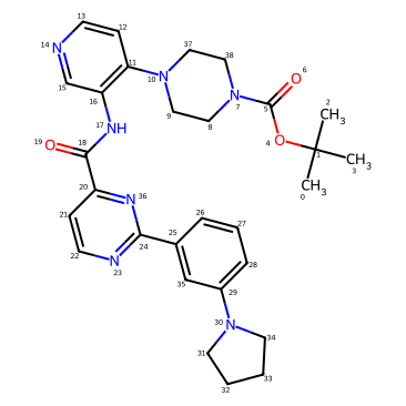 CC(C)(C)OC(=O)N1CCN(c2ccncc2NC(=O)c2ccnc(-c3cccc(N4CCCC4)c3)n2)CC1